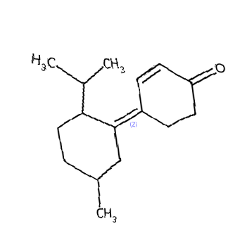 CC1CCC(C(C)C)/C(=C2\C=CC(=O)CC2)C1